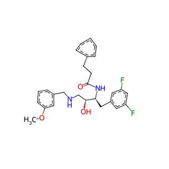 COc1cccc(CNC[C@H](O)[C@H](Cc2cc(F)cc(F)c2)NC(=O)CCc2ccccc2)c1